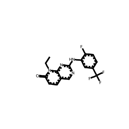 CCn1c(=O)ccc2cnc(Nc3cc(C(F)(F)F)ccc3F)nc21